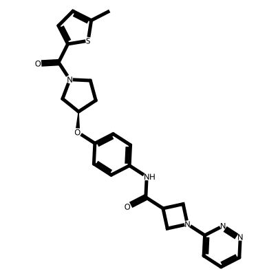 Cc1ccc(C(=O)N2CC[C@@H](Oc3ccc(NC(=O)C4CN(c5cccnn5)C4)cc3)C2)s1